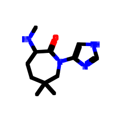 CNC1CCC(C)(C)CN(c2c[nH]cn2)C1=O